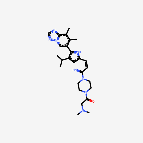 Cc1c(-c2[nH]c(/C=C\C(=N)N3CCN(C(=O)CN(C)C)CC3)cc2C(C)C)cn2ncnc2c1C